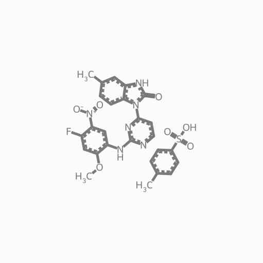 COc1cc(F)c([N+](=O)[O-])cc1Nc1nccc(-n2c(=O)[nH]c3cc(C)ccc32)n1.Cc1ccc(S(=O)(=O)O)cc1